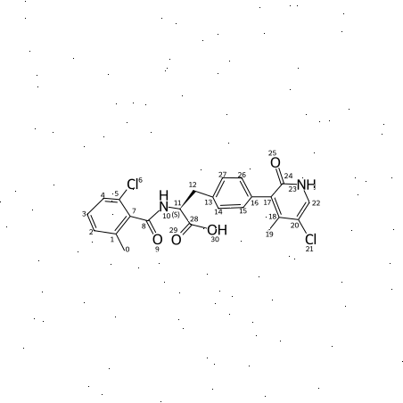 Cc1cccc(Cl)c1C(=O)N[C@@H](Cc1ccc(-c2c(C)c(Cl)c[nH]c2=O)cc1)C(=O)O